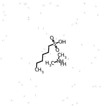 CCCCCCS(=O)(=O)O.CNC.F